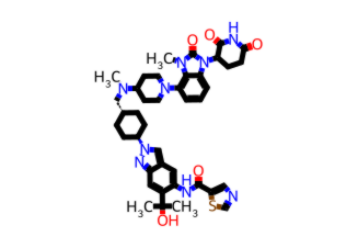 CN(C[C@H]1CC[C@H](n2cc3cc(NC(=O)c4cncs4)c(C(C)(C)O)cc3n2)CC1)C1CCN(c2cccc3c2n(C)c(=O)n3C2CCC(=O)NC2=O)CC1